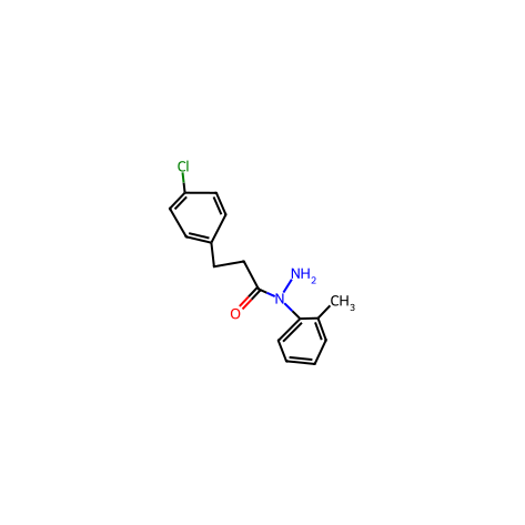 Cc1ccccc1N(N)C(=O)CCc1ccc(Cl)cc1